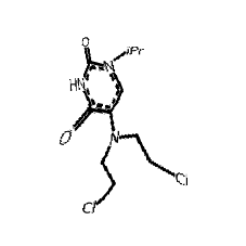 CC(C)n1cc(N(CCCl)CCCl)c(=O)[nH]c1=O